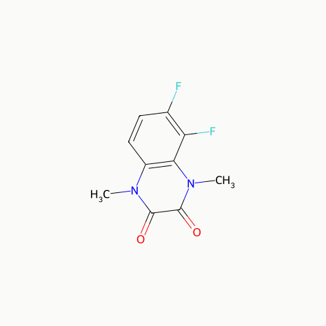 Cn1c(=O)c(=O)n(C)c2c(F)c(F)ccc21